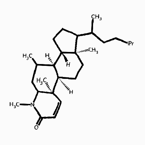 CC(C)CCC(C)C1CC[C@H]2[C@@H]3C(C)CC4N(C)C(=O)C=C[C@]4(C)[C@@H]3CC[C@]12C